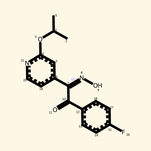 CC(C)Oc1cc(/C(=N/O)C(=O)c2ccc(F)cc2)ccn1